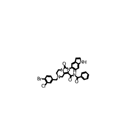 O=C(NC(=O)c1c2n(c(=O)n1-c1ccc3[nH]ccc3c1)CCN(Cc1ccc(Br)c(Cl)c1)C2)c1ccccc1